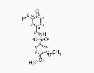 COc1ccc(S(=O)(=O)NCc2ccc(Cl)c(CF)c2)cc1OC